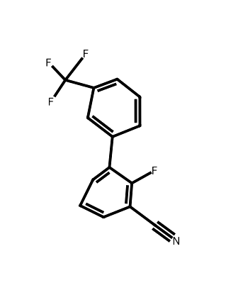 N#Cc1cccc(-c2cccc(C(F)(F)F)c2)c1F